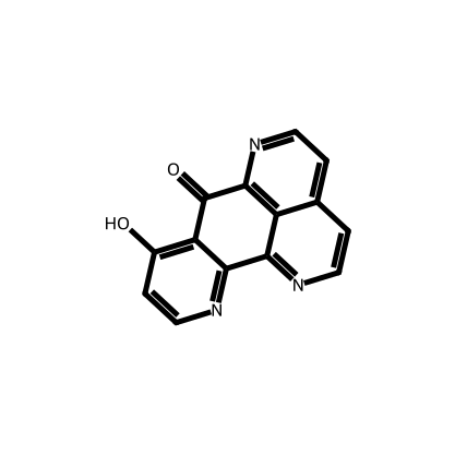 O=C1c2c(O)ccnc2-c2nccc3ccnc1c23